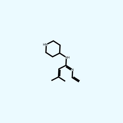 C=C/N=C(\C=C(C)C)NC1CCNCC1